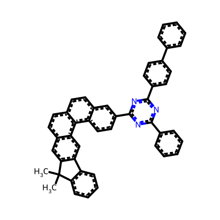 CC1(C)c2ccccc2-c2cc3c(ccc4ccc5cc(-c6nc(-c7ccccc7)nc(-c7ccc(-c8ccccc8)cc7)n6)ccc5c43)cc21